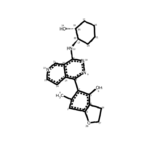 Cc1cc2c(c(O)c1-c1nnc(N[C@@H]3CCCC[C@H]3O)c3cnccc13)CCO2